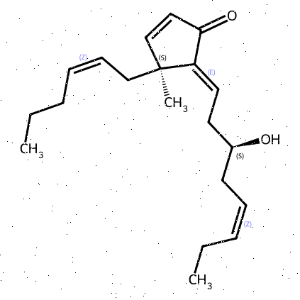 CC/C=C\C[C@H](O)C/C=C1/C(=O)C=C[C@]1(C)C/C=C\CCC